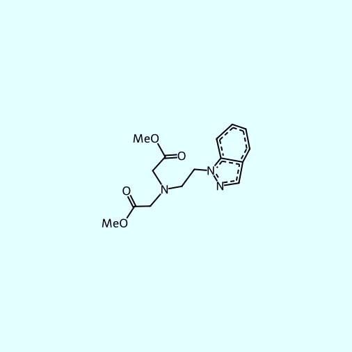 COC(=O)CN(CCn1ncc2ccccc21)CC(=O)OC